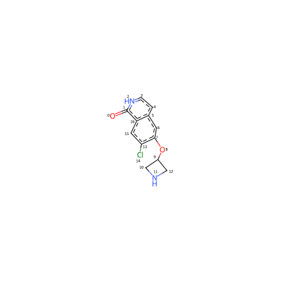 O=c1[nH]ccc2cc(OC3CNC3)c(Cl)cc12